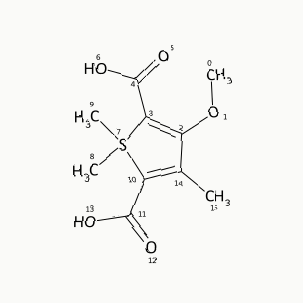 COC1=C(C(=O)O)S(C)(C)C(C(=O)O)=C1C